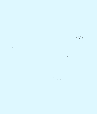 CCCCC1N=C(OC)c2ccc(Cl)cc21